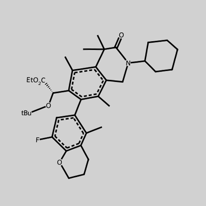 CCOC(=O)[C@@H](OC(C)(C)C)c1c(C)c2c(c(C)c1-c1cc(F)c3c(c1C)CCCO3)CN(C1CCCCC1)C(=O)C2(C)C